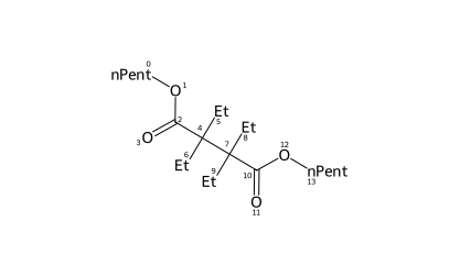 CCCCCOC(=O)C(CC)(CC)C(CC)(CC)C(=O)OCCCCC